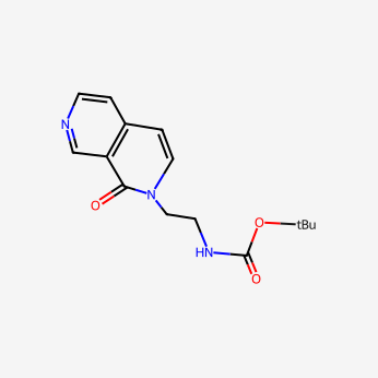 CC(C)(C)OC(=O)NCCn1ccc2ccncc2c1=O